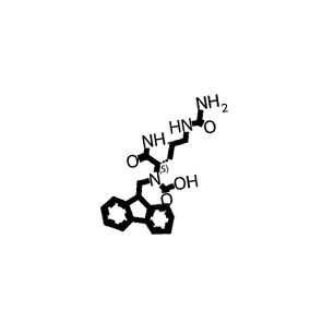 NC(=O)NCCC[C@@H](C(N)=O)N(CC1c2ccccc2-c2ccccc21)C(=O)O